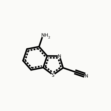 N#Cc1nc2c(N)cccc2s1